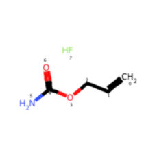 C=CCOC(N)=O.F